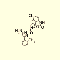 Cc1ccccc1-c1cc(N)n(CC(=O)N2CC[C@@]3(C2)OC(=O)Nc2ccc(Cl)c(F)c23)n1